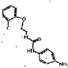 Nc1ccc(NC(=S)NCCOc2ccccc2Cl)cc1